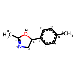 CC1=NCC(c2ccc(C)cc2)O1